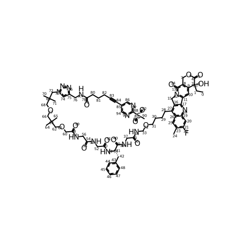 CC[C@@]1(O)C(=O)OCc2c1cc1n(c2=O)Cc2c-1nc1cc(F)c(C)cc1c2CCCCOCNC(=O)CNC(=O)[C@H](Cc1ccccc1)NC(=O)CNC(=O)CNC(=O)COCC(C)(C)COCC(C)(C)Cn1cc(CNC(=O)CCCC#Cc2cnc(S(C)(=O)=O)nc2)nn1